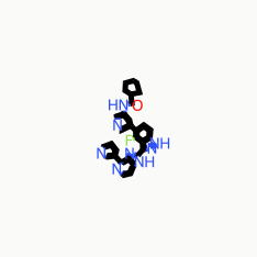 O=C(Nc1cncc(-c2ccc3[nH]nc(-c4nc5c(-c6cccnc6)nccc5[nH]4)c3c2F)c1)C1CCCCC1